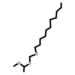 CCCCCCCCCCCOCOC(C)OC